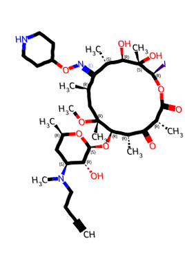 C#CCCN(C)[C@H]1C[C@@H](C)O[C@@H](O[C@@H]2[C@@H](C)C(=O)[C@@H](C)C(=O)O[C@H](I)[C@@](C)(O)[C@H](O)[C@@H](C)/C(=N/OC3CCNCC3)[C@H](C)C[C@@]2(C)OC)[C@@H]1O